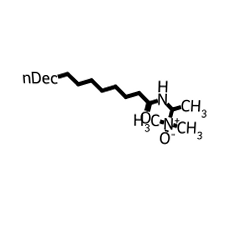 CCCCCCCCCCCCCCCCCC(=O)NC(C)[N+](C)(C)[O-]